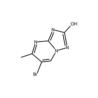 Cc1nc2nc(O)nn2cc1Br